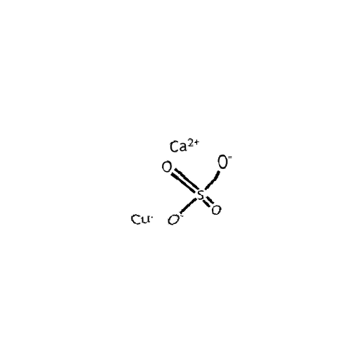 O=S(=O)([O-])[O-].[Ca+2].[Cu]